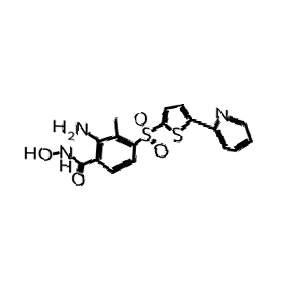 Cc1c(S(=O)(=O)c2ccc(-c3ccccn3)s2)ccc(C(=O)NO)c1N